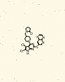 CCc1[nH]c2nc(Sc3cnc4nccnc4c3)nc(N3CCC(CN4CCCC4=O)CC3)c2c1Cl